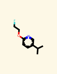 CC(C)c1ccc(OCCF)nc1